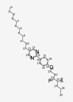 CCCCCCCCCCCCc1cnc(-c2ccc(OCCC(F)C(F)CCC)cc2)nc1